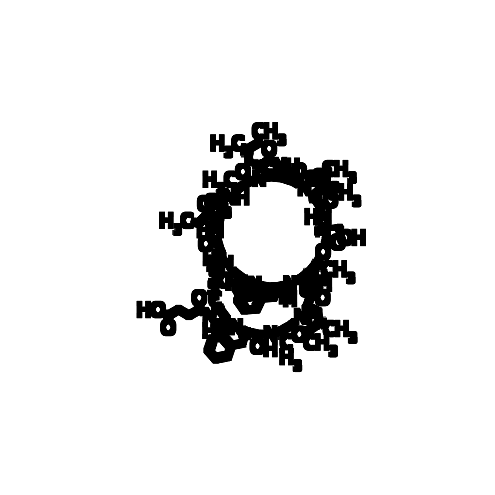 C=C1NC(=O)[C@H]([C@@H](C)CC)NC(=O)[C@@H]2CSSC[C@H](NC(=O)CCC(=O)O)C(=O)N[C@H](Cc3ccccc3)C(=O)N[C@H](C)C(=O)NC(C[C@@H](C)CC)C(=O)N[C@@H](C(=O)N[C@H](Cc3ccccc3)C(=O)N3CCC[C@H]3C(=O)N2)[C@@H](C)OC(=O)[C@H](CO)NC(=O)[C@H]([C@@H](C)OC)N(C)C(=O)C2NC(=O)[C@H](C[C@H](C)CC)N(C1=O)C2C